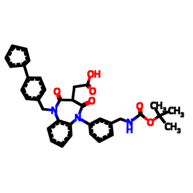 CC(C)(C)OC(=O)NCc1cccc(N2C(=O)C(CC(=O)O)C(=O)N(Cc3ccc(-c4ccccc4)cc3)c3ccccc32)c1